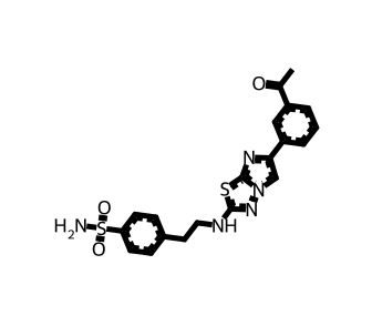 CC(=O)c1cccc(-c2cn3nc(NCCc4ccc(S(N)(=O)=O)cc4)sc3n2)c1